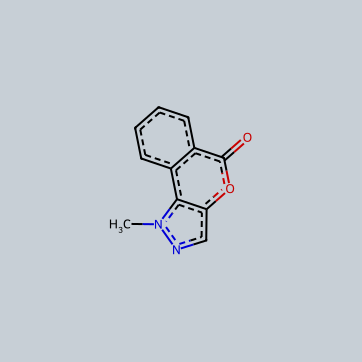 Cn1ncc2oc(=O)c3ccccc3c21